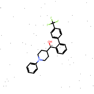 O[C@@H](c1ccccc1-c1ccc(C(F)(F)F)cc1)C1CCN(c2ccccc2)CC1